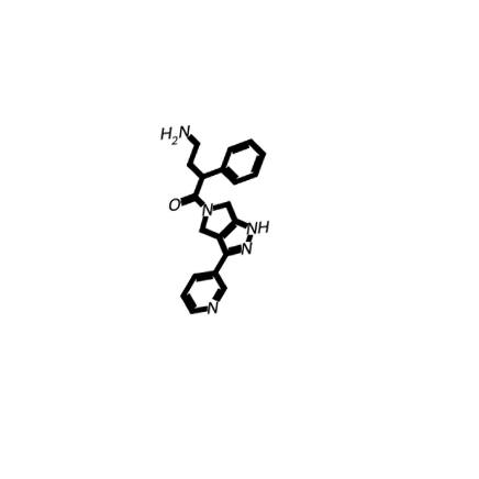 NCCC(C(=O)N1Cc2[nH]nc(-c3cccnc3)c2C1)c1ccccc1